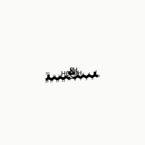 CC(C)CCCCCCCS(CCCCCCCC(C)C)=P(O)(O)S